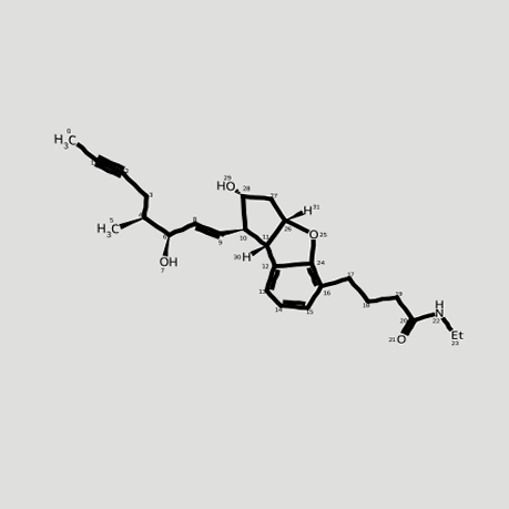 CC#CC[C@H](C)[C@H](O)/C=C/[C@@H]1[C@H]2c3cccc(CCCC(=O)NCC)c3O[C@H]2C[C@H]1O